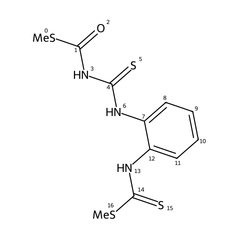 CSC(=O)NC(=S)Nc1ccccc1NC(=S)SC